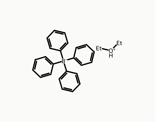 CC[OH+]CC.c1ccc([B-](c2ccccc2)(c2ccccc2)c2ccccc2)cc1